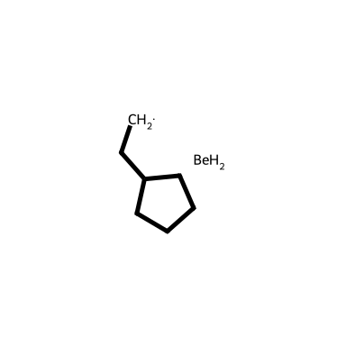 [BeH2].[CH2]CC1CCCC1